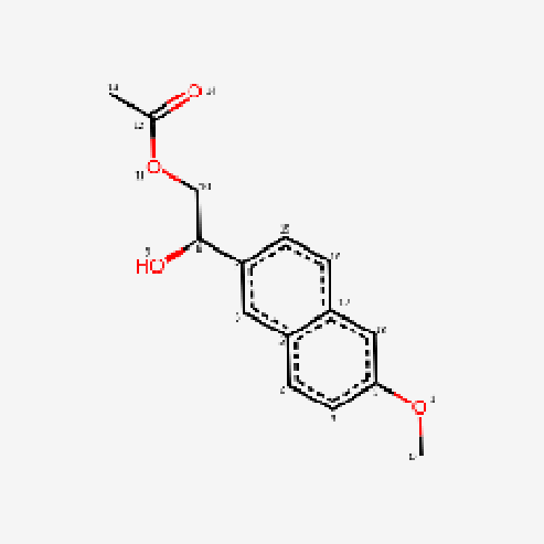 COc1ccc2cc([C@@H](O)COC(C)=O)ccc2c1